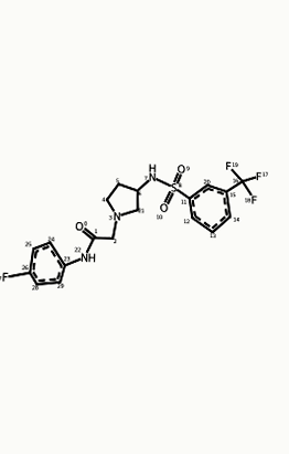 O=C(CN1CCC(NS(=O)(=O)c2cccc(C(F)(F)F)c2)C1)Nc1ccc(F)cc1